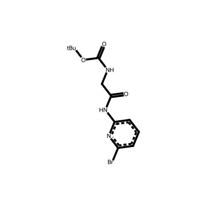 CC(C)(C)OC(=O)NCC(=O)Nc1cccc(Br)n1